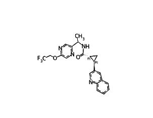 CC(NC(=O)[C@@H]1C[C@H]1c1cnc2ccccc2c1)c1cnc(OCC(F)(F)F)cn1